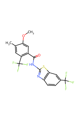 COc1cc(C(=O)Nc2nc3ccc(C(F)(F)F)cc3s2)c(C(F)(F)F)cc1C